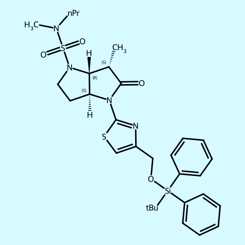 CCCN(C)S(=O)(=O)N1CC[C@H]2[C@H]1[C@H](C)C(=O)N2c1nc(CO[Si](c2ccccc2)(c2ccccc2)C(C)(C)C)cs1